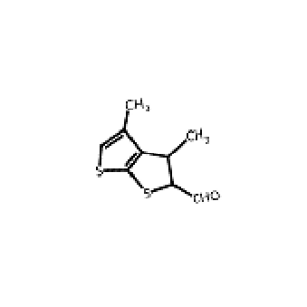 Cc1csc2c1C(C)C(C=O)S2